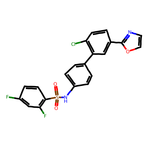 O=S(=O)(Nc1ccc(-c2cc(-c3ncco3)ccc2Cl)cc1)c1ccc(F)cc1F